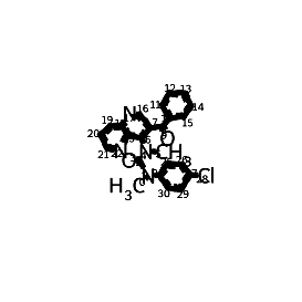 CN(C(=O)N(C)c1c(C(=O)c2ccccc2)cnc2cccnc12)c1ccc(Cl)cc1